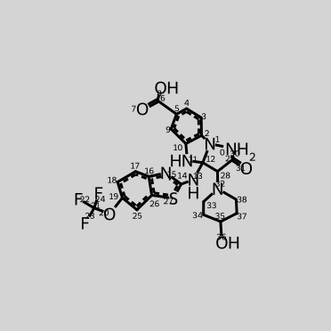 CN1c2ccc(C(=O)O)cc2NC1(Nc1nc2ccc(OC(F)(F)F)cc2s1)C(C(N)=O)N1CCC(O)CC1